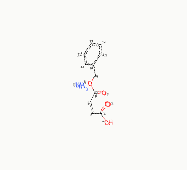 N.O=C(O)/C=C\C(=O)OCc1ccccc1